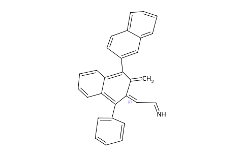 C=c1c(-c2ccc3ccccc3c2)c2ccccc2c(-c2ccccc2)/c1=C/C=N